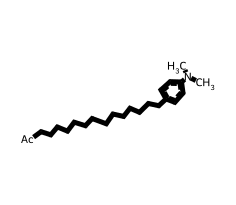 CC(=O)CCCCCCCCCCCCCCc1ccc(N(C)C)cc1